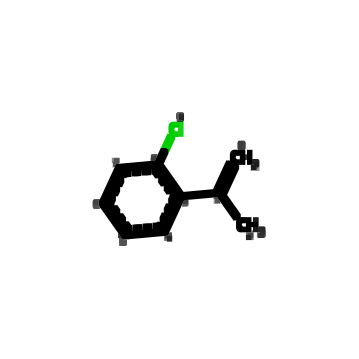 C=C(C)c1c[c]ccc1Cl